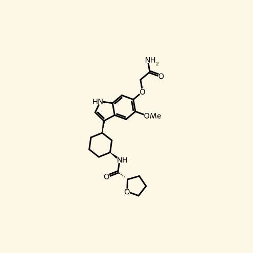 COc1cc2c([C@@H]3CCC[C@H](NC(=O)[C@@H]4CCCO4)C3)c[nH]c2cc1OCC(N)=O